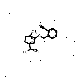 CC(C)C12CCC(C)(O1)C(OCc1ccccc1C#N)C2